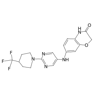 O=C1COc2cc(Nc3cnc(N4CCC(C(F)(F)F)CC4)nc3)ccc2N1